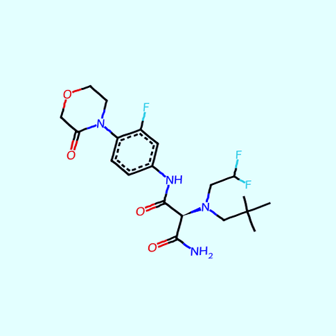 CC(C)(C)CN(CC(F)F)[C@@H](C(N)=O)C(=O)Nc1ccc(N2CCOCC2=O)c(F)c1